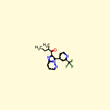 CCC(C)C(=O)c1nc2cccnn2c1-c1ccnc(C(F)(F)F)c1